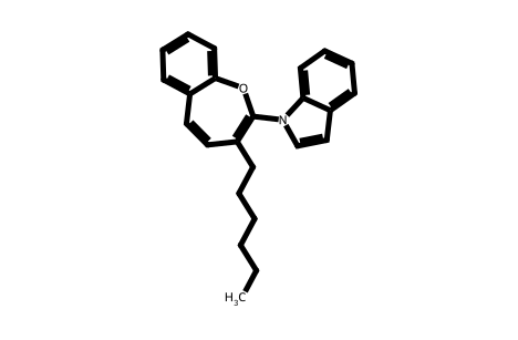 CCCCCCC1=C(n2ccc3ccccc32)Oc2ccccc2C=C1